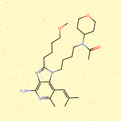 COCCCCc1nc2c(N)nc(C)c(C=C(C)C)c2n1CCCCN(C(C)=O)C1CCOCC1